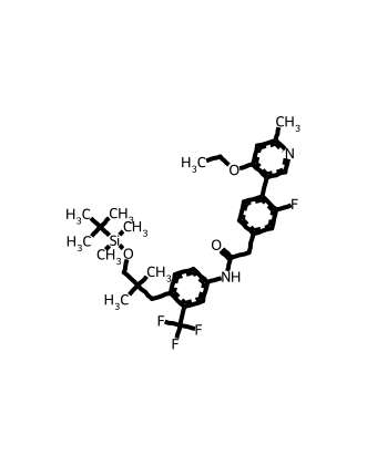 CCOc1cc(C)ncc1-c1ccc(CC(=O)Nc2ccc(CC(C)(C)CO[Si](C)(C)C(C)(C)C)c(C(F)(F)F)c2)cc1F